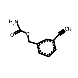 C#Cc1cccc(COC(N)=O)c1